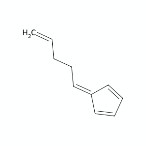 C=CCCC=C1C=CC=C1